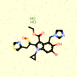 CCOC(=O)c1c(C(Cc2cscn2)=S=O)n(C2CC2)c2cc(Br)c(O)c(Cn3ccnc3)c12.Cl.Cl